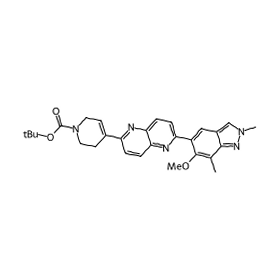 COc1c(-c2ccc3nc(C4=CCN(C(=O)OC(C)(C)C)CC4)ccc3n2)cc2cn(C)nc2c1C